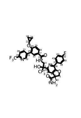 C[C@]1(C(N)=O)COc2c1cc(C(O)(CNC(=O)c1ccc(OC3CC3)c(-c3ccc(C(F)(F)F)nc3)c1)C(F)(F)F)nc2-c1ccc(F)cc1